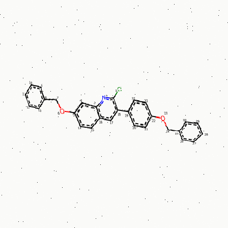 Clc1nc2cc(OCc3ccccc3)ccc2cc1-c1ccc(OCc2ccccc2)cc1